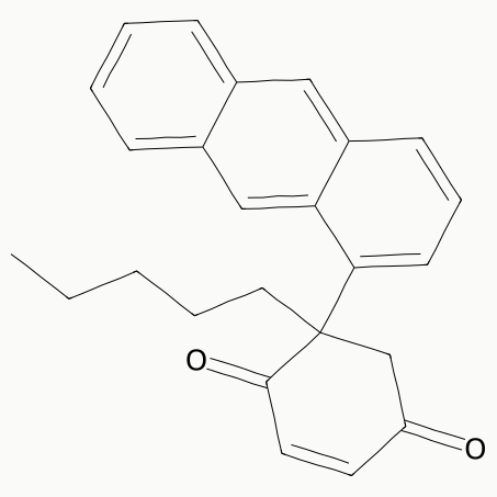 CCCCCC1(c2cccc3cc4ccccc4cc23)CC(=O)C=CC1=O